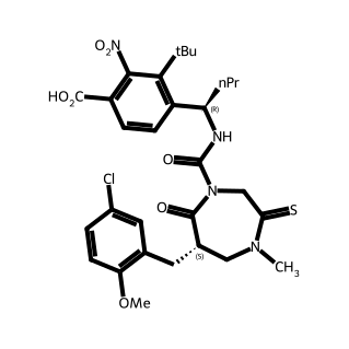 CCC[C@@H](NC(=O)N1CC(=S)N(C)C[C@H](Cc2cc(Cl)ccc2OC)C1=O)c1ccc(C(=O)O)c([N+](=O)[O-])c1C(C)(C)C